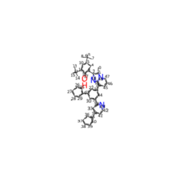 Cc1c(-c2cc(C(C)(C)C)cc(C(C)(C)C)c2O)nc2c(-c3cc(-c4ccccc4)cc(-c4cc(-c5ccccc5)ccn4)c3)cccn12